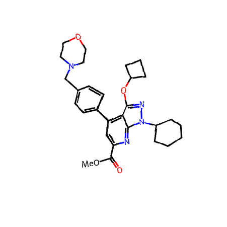 COC(=O)c1cc(-c2ccc(CN3CCOCC3)cc2)c2c(OC3CCC3)nn(C3CCCCC3)c2n1